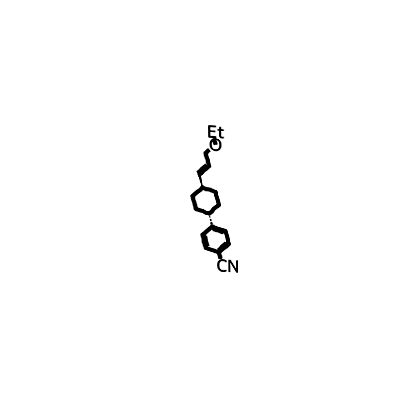 CCOCC=C[C@H]1CC[C@H](c2ccc(C#N)cc2)CC1